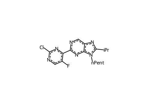 CCCCCn1c(C(C)C)nc2cnc(-c3nc(Cl)ncc3F)nc21